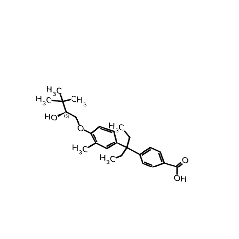 CCC(CC)(c1ccc(C(=O)O)cc1)c1ccc(OC[C@@H](O)C(C)(C)C)c(C)c1